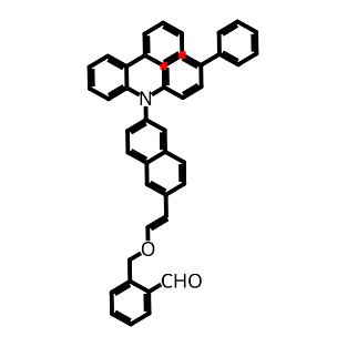 O=Cc1ccccc1COC=Cc1ccc2cc(N(c3ccc(-c4ccccc4)cc3)c3ccccc3-c3ccccc3)ccc2c1